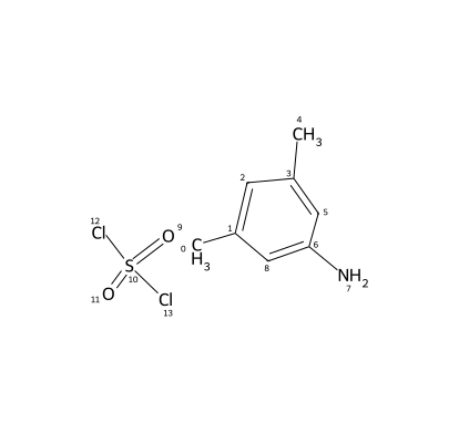 Cc1cc(C)cc(N)c1.O=S(=O)(Cl)Cl